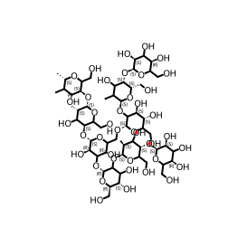 CC1C(O)[C@H](O[C@@H]2OC(CO)[C@H](O)C(O)[C@@H]2O)[C@H](CO)O[C@H]1OC1[C@@H](OCC2O[C@@H](O[C@@H]3C(CO)O[C@@H](O[C@@H]4C(CO)O[C@@H](C)C(C)[C@H]4O)[C@@H](C)C3O)[C@H](O)C(O[C@H]3O[C@H](CO)[C@@H](O)C(O)C3O[C@@H]3OC(CO)[C@@H](O[C@@H]4OC(CO)[C@H](O)C(O)[C@@H]4O)C(O)[C@@H]3C)[C@@H]2O)OC(CO)[C@@H](O)[C@@H]1O